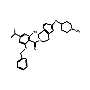 CN1CCC(Oc2ccc3c(c2)CCN(C(=O)c2c(O)cc(C(F)F)cc2OCc2ccccc2)C3)CC1